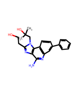 CC(C)(O)Cn1c(CCO)nc2c(N)nc3cc(-c4ccccc4)ccc3c21